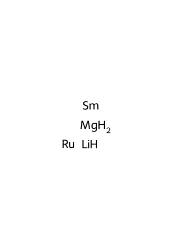 [LiH].[MgH2].[Ru].[Sm]